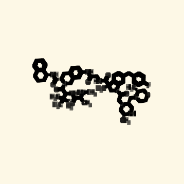 CNC(C)C(=O)NC(C(=O)N1Cc2cc(NC(=O)CNC(=O)[C@@]3(C)CN(C(=O)CN4C[C@@H](C)NC[C@@H]4CN4CCOC[C@H]4C)c4cc(Cc5ccc(F)cc5)ccc43)ccc2C[C@H]1C(=O)N[C@@H]1CCCc2ccccc21)C(C)(C)C